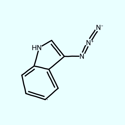 [N-]=[N+]=Nc1c[nH]c2cc[c]cc12